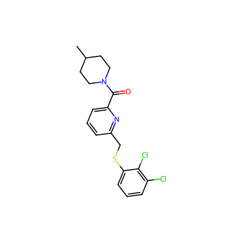 CC1CCN(C(=O)c2cccc(CSc3cccc(Cl)c3Cl)n2)CC1